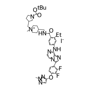 CCc1cc(Nc2nccn3c(-c4ccc(Oc5cnn(C)n5)c(F)c4F)cnc23)ccc1C(=O)NCC1CC[N+](C)(CC2CCN(C(=O)OC(C)(C)C)C2)CC1.[I-]